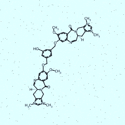 COc1cc2c(cc1OCc1cc(O)cc(COc3cc4c(cc3OC)C(=O)N3Cc5c(n(C)c[n+]5C)C[C@H]3C=N4)c1)N=C[C@@H]1Cc3c([n+](C)cn3C)CN1C2=O